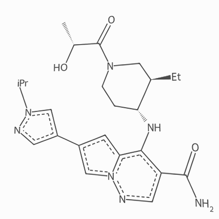 CC[C@@H]1CN(C(=O)[C@@H](C)O)CC[C@H]1Nc1c(C(N)=O)cnn2cc(-c3cnn(C(C)C)c3)cc12